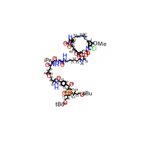 COc1cc2cc(c1Cl)N(C)C(=O)C[C@@H](OC(=O)[C@@H](C)N(C)C(=O)CCCCCNC(=O)CNC(=O)C(NC(=O)CCC(C)(C)OCCC(C)(C)NC(=O)c1ccc(C(=O)C(CSC(C)(C)CCOC(C)(C)C)CS(=O)(=O)C(C)(C)CCOC(C)(C)C)cc1)C(C)C)[C@@]1(C)OC1[C@H](C)C1C[C@@H](C/C=C\C=C(\C)C2)NC(=O)O1